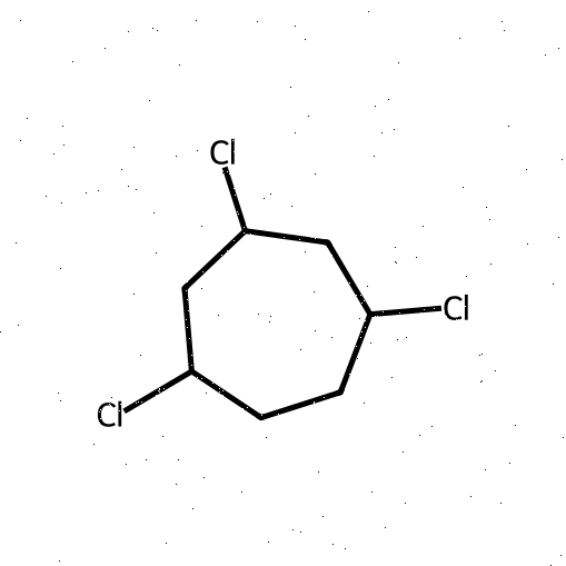 ClC1CCC(Cl)CC(Cl)C1